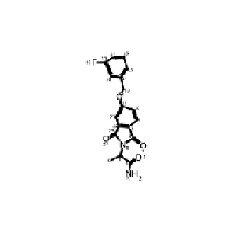 CC(C(N)=O)N1C(=O)c2ccc(OCc3cccc(F)c3)cc2C1=O